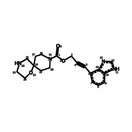 O=C(OCC#Cc1cccc2[nH]cnc12)N1CCC2(CC1)CNCCO2